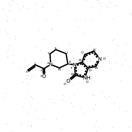 C=CC(=O)N1CCC[C@@H](n2c(=O)[nH]c3cnccc32)C1